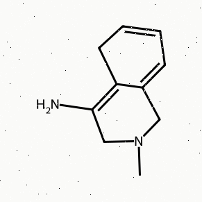 CN1CC2=CC=CCC2=C(N)C1